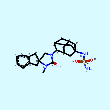 CN1C(=O)N(C2C3CC4CC2CC(NS(N)(=O)=O)(C4)C3)CC12Cc1ccccc1C2